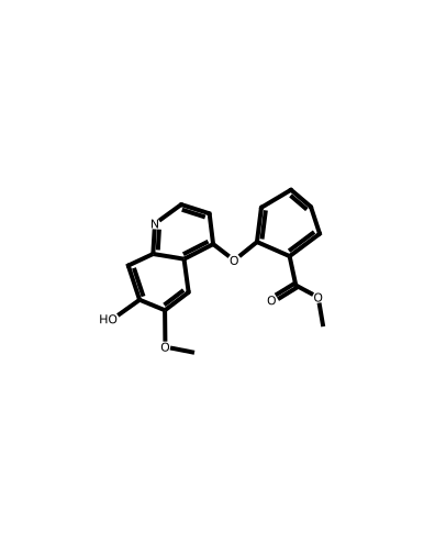 COC(=O)c1ccccc1Oc1ccnc2cc(O)c(OC)cc12